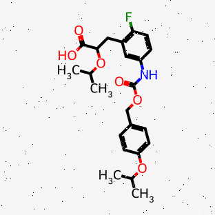 CC(C)Oc1ccc(COC(=O)Nc2ccc(F)c(CC(OC(C)C)C(=O)O)c2)cc1